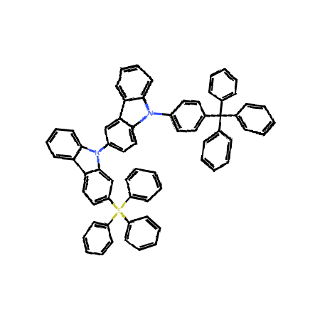 c1ccc(C(c2ccccc2)(c2ccccc2)c2ccc(-n3c4ccccc4c4cc(-n5c6ccccc6c6ccc(S(c7ccccc7)(c7ccccc7)c7ccccc7)cc65)ccc43)cc2)cc1